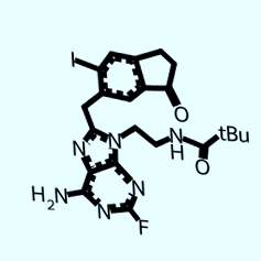 CC(C)(C)C(=O)NCCn1c(Cc2cc3c(cc2I)CCC3=O)nc2c(N)nc(F)nc21